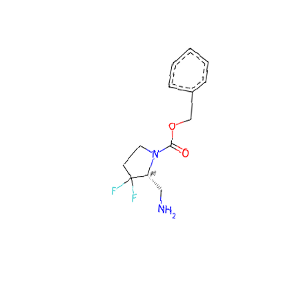 NC[C@H]1N(C(=O)OCc2ccccc2)CCC1(F)F